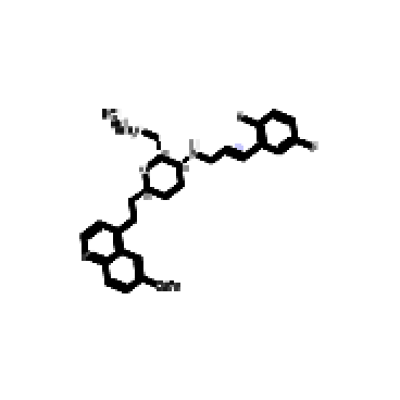 COc1ccc2nccc(CC[C@@H]3CC[C@@H](NC/C=C/c4cc(F)ccc4F)[C@@H](CC(=O)O)O3)c2c1.Cl.Cl